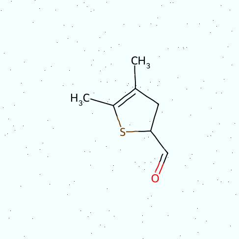 CC1=C(C)SC(C=O)C1